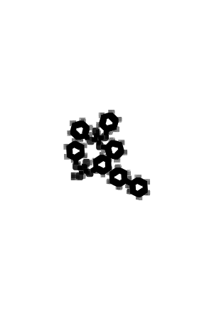 O=P(O)(Oc1ccccc1)Oc1ccccc1.O=P(Oc1ccccc1)(Oc1ccccc1)Oc1ccccc1.c1ccc(-c2ccccc2)cc1